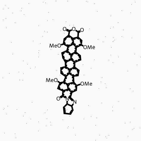 COc1cc2c3c(cc(OC)c4c5ccc6c7ccc8c9c(OC)cc%10c%11n(c(=O)c%12cc(OC)c(c%13ccc(c%14ccc(c1c34)c5c%146)c7c%138)c9c%12%10)C1C=CC=CC1N=%11)C(=O)OC2=O